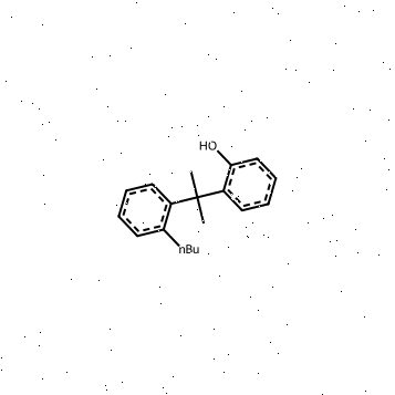 CCCCc1ccccc1C(C)(C)c1ccccc1O